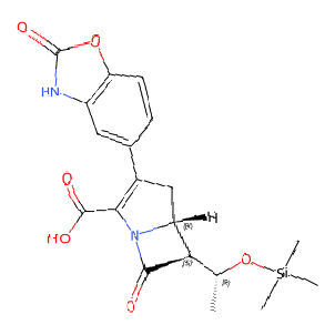 C[C@@H](O[Si](C)(C)C)[C@H]1C(=O)N2C(C(=O)O)=C(c3ccc4oc(=O)[nH]c4c3)C[C@H]12